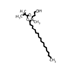 C=C(C)C(=O)OC(CCCCCCCCCCCCCCCCC)N(C)CCCO